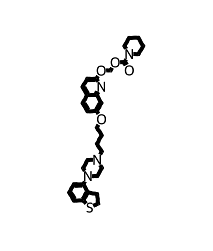 O=C(OCOc1ccc2ccc(OCCCCN3CCN(c4cccc5c4CCS5)CC3)cc2n1)N1CCCCC1